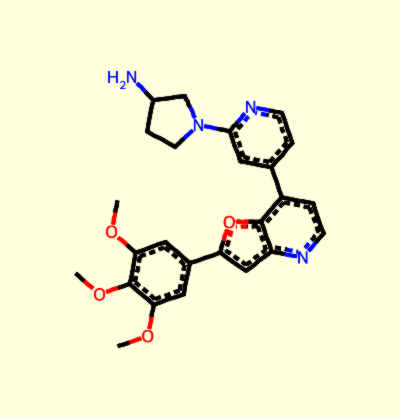 COc1cc(-c2cc3nccc(-c4ccnc(N5CCC(N)C5)c4)c3o2)cc(OC)c1OC